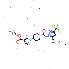 CCOC(=O)c1cnn(C2CCN(C(=O)Cn3nc(C(F)(F)F)cc3C)CC2)c1